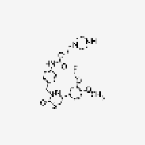 COc1ccc(C2=NN(Cc3ccc(NC(=O)OCCN4CCNCC4)cc3)C(=O)SC2)cc1OCF